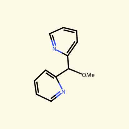 COC(c1ccccn1)c1ccccn1